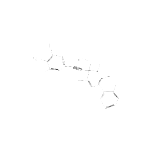 CCCOC1(C#Cc2cc(F)c(C#N)c(F)c2)C(F)=CC(c2ccccc2F)=C(F)C1F